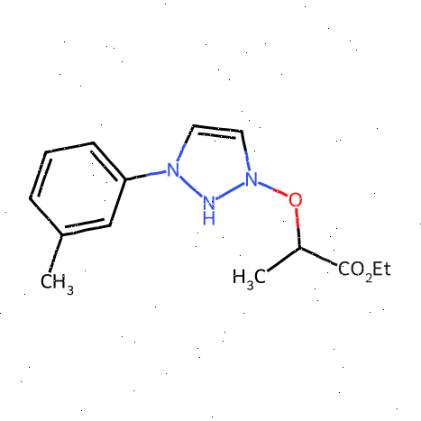 CCOC(=O)C(C)ON1C=CN(c2cccc(C)c2)N1